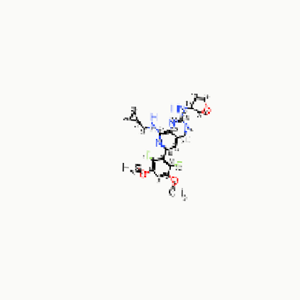 COc1cc(OC)c(F)c(-c2cc3cnc(NC4CCOC4)nc3c(NCC3CC3)n2)c1F